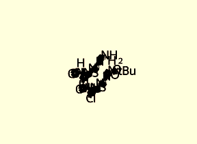 CC(C)(C)OC(=O)N[C@H]1CCN(CC[C@@H]2CSC(c3cc4cc(Cl)cc(NC5CCOCC5)c4[nH]3)=N2)C1.N[C@H]1CCN(CC[C@@H]2CSC(c3cc4cc(Cl)cc(NC5CCOCC5)c4[nH]3)=N2)C1